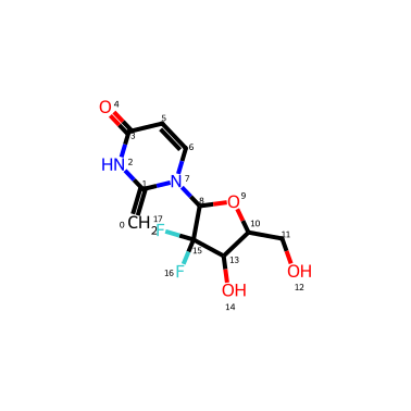 C=C1NC(=O)C=CN1C1OC(CO)C(O)C1(F)F